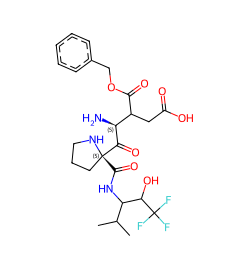 CC(C)C(NC(=O)[C@@]1(C(=O)[C@@H](N)C(CC(=O)O)C(=O)OCc2ccccc2)CCCN1)C(O)C(F)(F)F